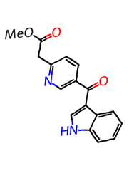 COC(=O)Cc1ccc(C(=O)c2c[nH]c3ccccc23)cn1